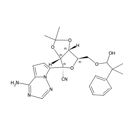 CC1(C)O[C@H]2[C@@H](O1)[C@](C#N)(c1ccc3c(N)ncnn13)O[C@@H]2COC(O)C1(c2ccccc2)CC1